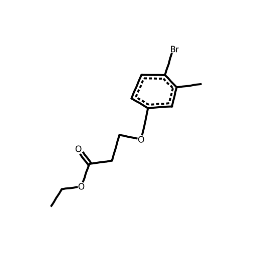 CCOC(=O)CCOc1ccc(Br)c(C)c1